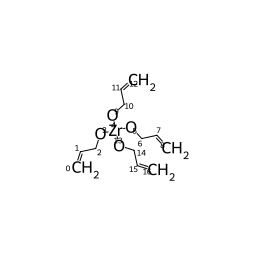 C=CC[O][Zr]([O]CC=C)([O]CC=C)[O]CC=C